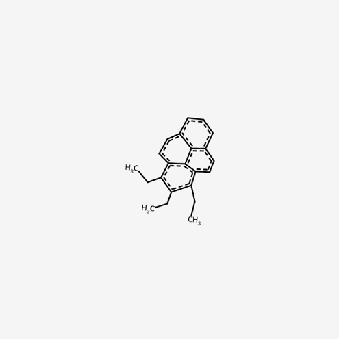 CCc1c(CC)c2ccc3cccc4ccc(c1CC)c2c34